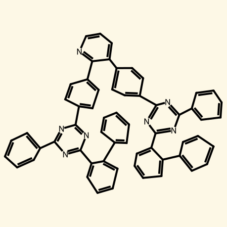 c1ccc(-c2nc(-c3ccc(-c4cccnc4-c4ccc(-c5nc(-c6ccccc6)nc(-c6ccccc6-c6ccccc6)n5)cc4)cc3)nc(-c3ccccc3-c3ccccc3)n2)cc1